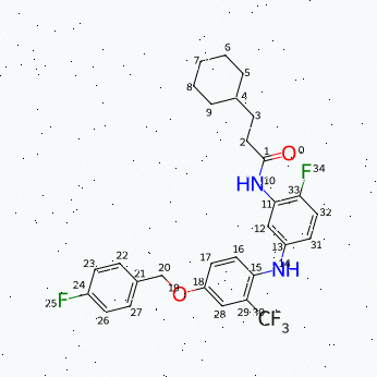 O=C(CCC1CCCCC1)Nc1cc(Nc2ccc(OCc3ccc(F)cc3)cc2C(F)(F)F)ccc1F